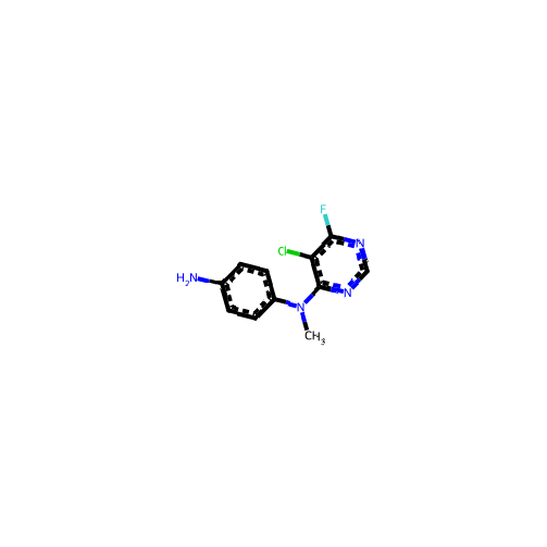 CN(c1ccc(N)cc1)c1ncnc(F)c1Cl